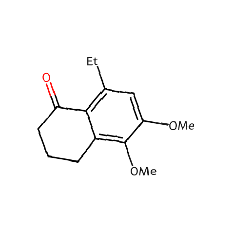 CCc1cc(OC)c(OC)c2c1C(=O)CCC2